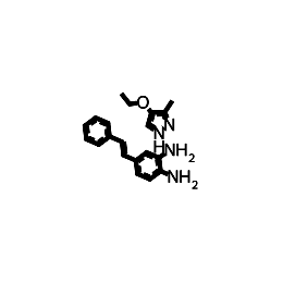 CCOc1c[nH]nc1C.Nc1ccc(C=Cc2ccccc2)cc1N